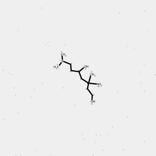 CN(C)CCC(O)CC(C)(N)CCO